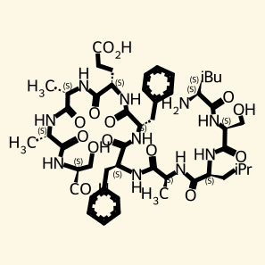 CC[C@H](C)[C@H](N)C(=O)N[C@@H](CO)C(=O)N[C@@H](CC(C)C)C(=O)N[C@@H](C)C(=O)N[C@@H](Cc1ccccc1)C(=O)N[C@@H](Cc1ccccc1)C(=O)N[C@@H](CCC(=O)O)C(=O)N[C@@H](C)C(=O)N[C@@H](C)C(=O)N[C@@H](CO)C(=O)O